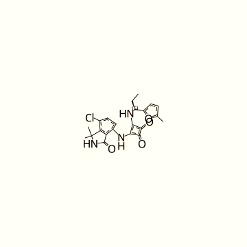 CC[C@H](Nc1c(Nc2ccc(Cl)c3c2C(=O)NC3(C)C)c(=O)c1=O)c1ccc(C)o1